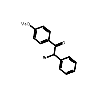 COc1ccc(C(=O)C(Br)c2ccccc2)cc1